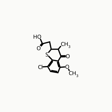 COc1ccc(Cl)c2c1C(=O)C(C)C(CC(=O)O)S2